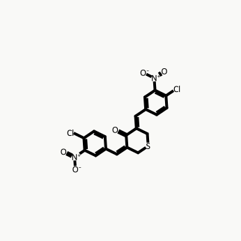 O=C1C(=Cc2ccc(Cl)c([N+](=O)[O-])c2)CSCC1=Cc1ccc(Cl)c([N+](=O)[O-])c1